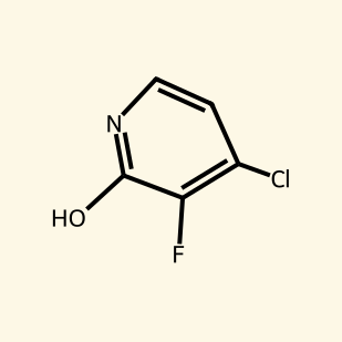 Oc1nccc(Cl)c1F